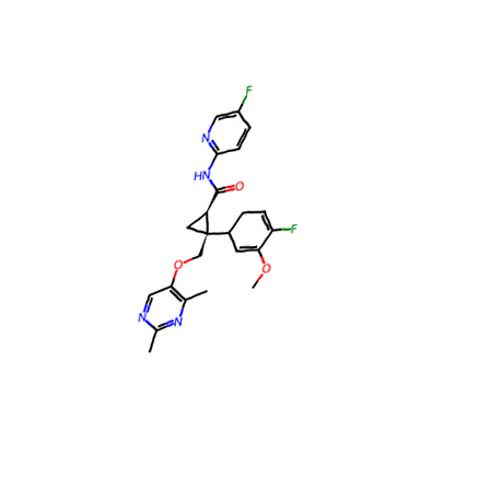 COC1=CC([C@]2(COc3cnc(C)nc3C)C[C@H]2C(=O)Nc2ccc(F)cn2)CC=C1F